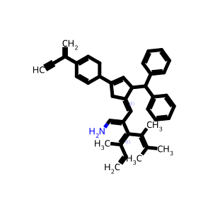 C#CC(=C)C1=CCC(C2=CC(C(c3ccccc3)c3ccccc3)/C(=C/C(=CN)/C(C(C)=C(C)C)=C(\C)C=C)C2)C=C1